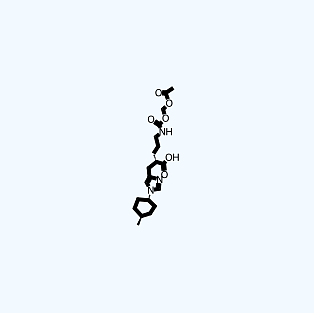 CC(=O)OCOC(=O)NCCC[C@@H](Cc1cn([C@H]2CC[C@H](C)CC2)cn1)C(=O)O